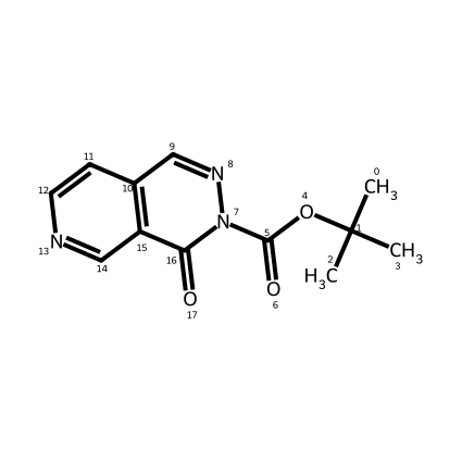 CC(C)(C)OC(=O)n1ncc2ccncc2c1=O